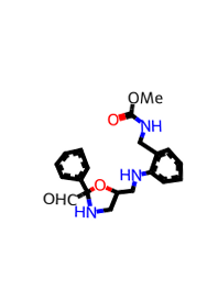 COC(=O)NCc1ccccc1NCC1CNC(C=O)(c2ccccc2)O1